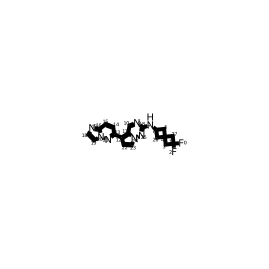 FC1(F)CC2(CC(Nc3ncc4c(-c5ccc6nccn6n5)ccn4n3)C2)C1